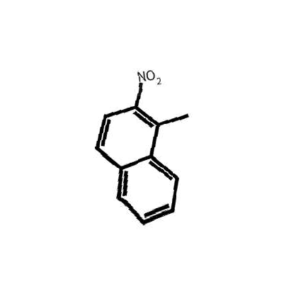 Cc1c([N+](=O)[O-])ccc2ccccc12